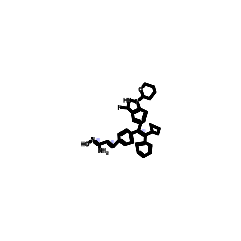 NC(/C=C/c1ccc(/C(=C(\c2ccccc2)C2CCC2)c2ccc3c(c2)C(F)NN3C2CCCCO2)cc1)=N\O